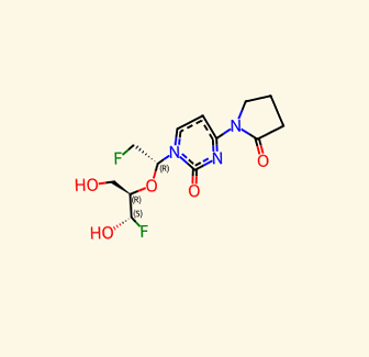 O=C1CCCN1c1ccn([C@@H](CF)O[C@H](CO)[C@@H](O)F)c(=O)n1